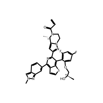 C=CC(=O)N1CCn2nc(-c3nc(-c4ccc5cn(C)nc5c4)c4ccsc4c3-c3c(F)cc(F)cc3OC[C@@H](C)O)cc2[C@@H]1C